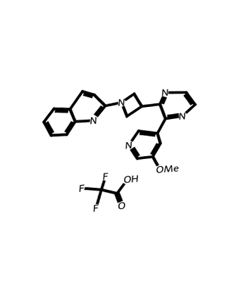 COc1cncc(-c2nccnc2C2CN(c3ccc4ccccc4n3)C2)c1.O=C(O)C(F)(F)F